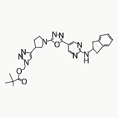 CC(C)(C)C(=O)OCn1cc(C2CCN(c3nnc(-c4cnc(NC5Cc6ccccc6C5)nc4)o3)C2)nn1